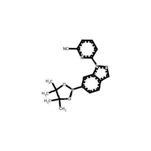 CC1(C)OB(c2ccc3cnn(-c4cccc(C#N)n4)c3c2)OC1(C)C